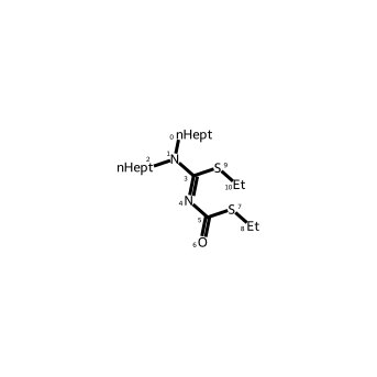 CCCCCCCN(CCCCCCC)C(=NC(=O)SCC)SCC